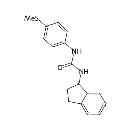 CSc1ccc(NC(=O)NC2CCc3ccccc32)cc1